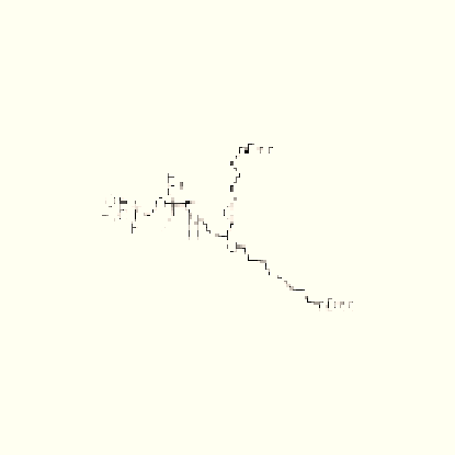 CCCCCCCCCCCCCCCCCCOC(CCNC(=O)C(C)(C)OCC(C)(CC)OC)COCCCCCCCCCCCCCC